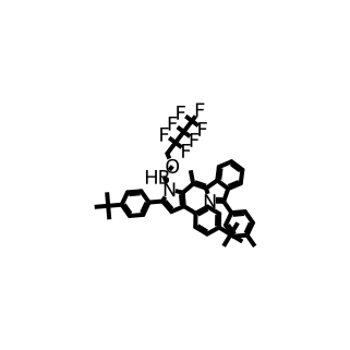 C/C(=C1/N=C(c2ccc(C)cc2)c2ccccc21)c1c(-c2ccc(C(C)(C)C)cc2)cc(-c2ccc(C(C)(C)C)cc2)n1BOCC(F)(F)C(F)(F)C(F)(F)F